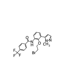 Cn1nccc1-c1cccc(NC(=O)c2ccc(C(F)(F)F)cc2)c1OCCBr